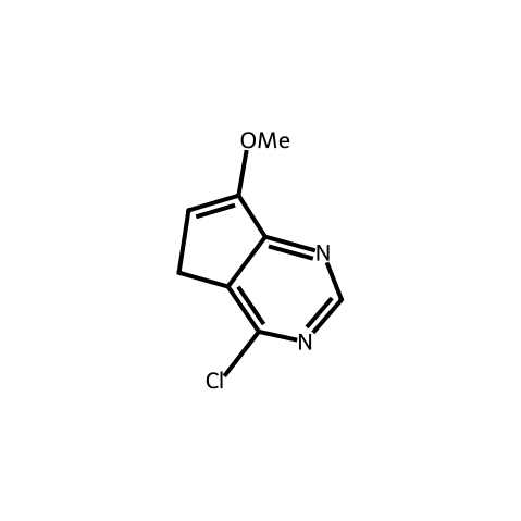 COC1=CCc2c(Cl)ncnc21